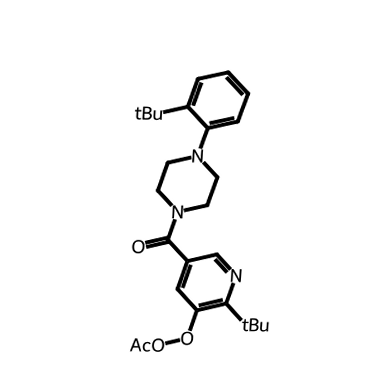 CC(=O)OOc1cc(C(=O)N2CCN(c3ccccc3C(C)(C)C)CC2)cnc1C(C)(C)C